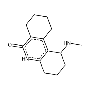 CNC1CCCc2[nH]c(=O)c3c(c21)CCCC3